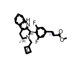 COC(=O)/C=C/c1cc(F)c([C@@H]2c3[nH]c4ccccc4c3C[C@@H](C)N2CC23CC(C2)C3)c(F)c1